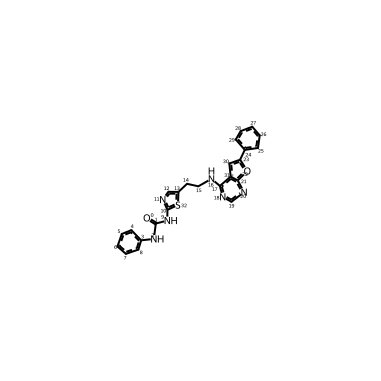 O=C(Nc1ccccc1)Nc1ncc(CCNc2ncnc3oc(-c4ccccc4)cc23)s1